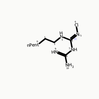 CCCCCCCN/C(=N\Cl)NC(=N)N